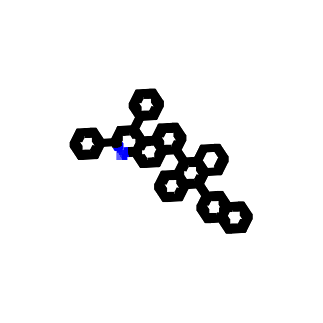 C1=Cc2c(c(-c3cccc4c3ccc3nc(-c5ccccc5)cc(-c5ccccc5)c34)c3ccccc3c2-c2ccc3ccccc3c2)CC1